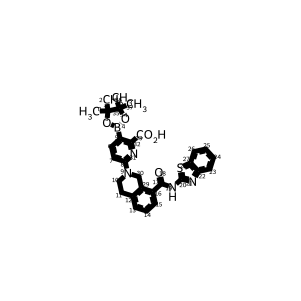 CC1(C)OB(c2ccc(N3CCc4cccc(C(=O)Nc5nc6ccccc6s5)c4C3)nc2C(=O)O)OC1(C)C